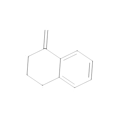 [CH]=C1CCCc2ccccc21